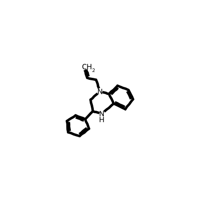 C=CCN1CC(c2ccccc2)Nc2ccccc21